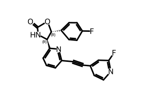 O=C1N[C@H](c2cccc(C#Cc3ccnc(F)c3)n2)[C@@H](c2ccc(F)cc2)O1